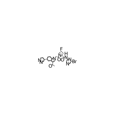 CC(=O)c1cn(CC(=O)N2C[C@H](F)C[C@H]2C(=O)Nc2cncc(Br)n2)c2ccc(-c3ccnnc3)cc12